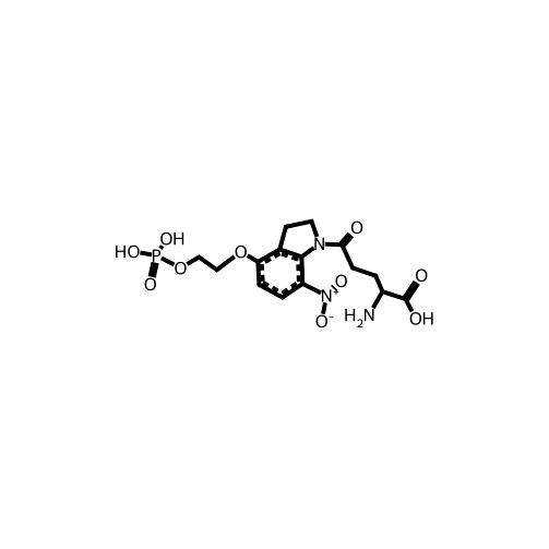 NC(CCC(=O)N1CCc2c(OCCOP(=O)(O)O)ccc([N+](=O)[O-])c21)C(=O)O